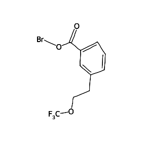 O=C(OBr)c1cccc(CCOC(F)(F)F)c1